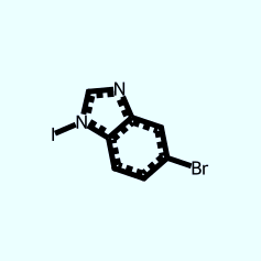 Brc1ccc2c(c1)ncn2I